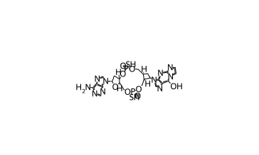 Nc1ncnc2c1ncn2[C@H]1C[C@@H]2O[P@@](=O)(S)OC[C@H]3C[C@@H](n4cnc5c(O)n6ccnc6nc54)[C@@H]3CO[P@](=O)(S)OC[C@H]2O1